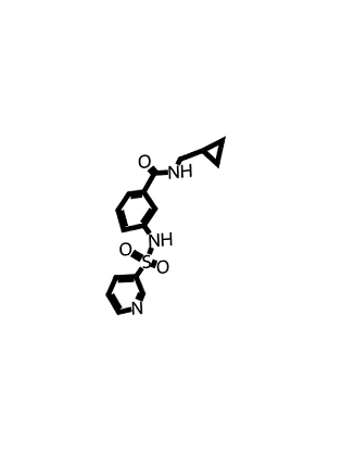 O=C(NCC1CC1)c1cccc(NS(=O)(=O)c2cccnc2)c1